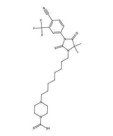 CC1(C)C(=O)N(c2ccc(C#N)c(C(F)(F)F)c2)C(=S)N1CCCCCCCCN1CCN(C(=O)S)CC1